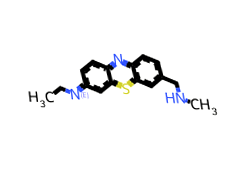 CC/N=c1\ccc2nc3ccc(CNC)cc3sc-2c1